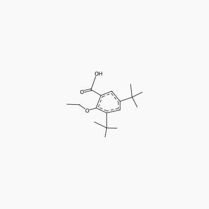 CCOc1c(C(=O)O)cc(C(C)(C)C)cc1C(C)(C)C